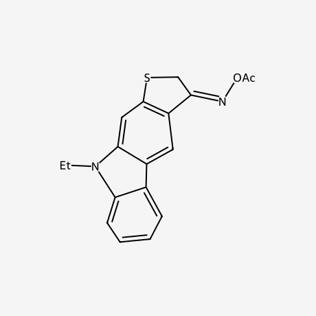 CCn1c2ccccc2c2cc3c(cc21)SC/C3=N\OC(C)=O